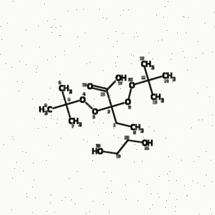 CCC(OOC(C)(C)C)(OOC(C)(C)C)C(=O)O.OCCO